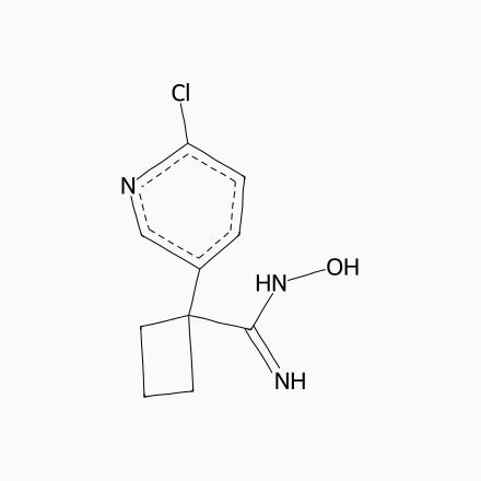 N=C(NO)C1(c2ccc(Cl)nc2)CCC1